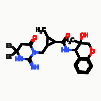 CCC1(CC)CC(=O)N(CC2C(C)[C@H]2C(=O)N[C@@H]2c3ccccc3OCC2(C)O)C(=N)N1